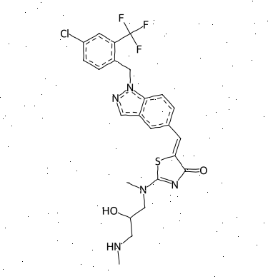 CNCC(O)CN(C)C1=NC(=O)C(=Cc2ccc3c(cnn3Cc3ccc(Cl)cc3C(F)(F)F)c2)S1